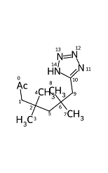 CC(=O)CC(C)(C)CC(C)(C)Cc1nnn[nH]1